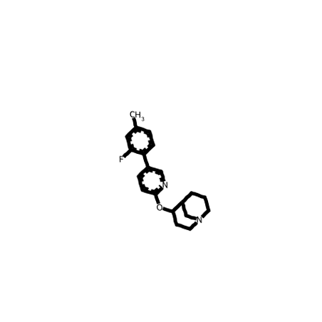 Cc1ccc(-c2ccc(OC3CCN4CCCC3C4)nc2)c(F)c1